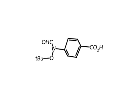 CC(C)(C)ON(C=O)c1ccc(C(=O)O)cc1